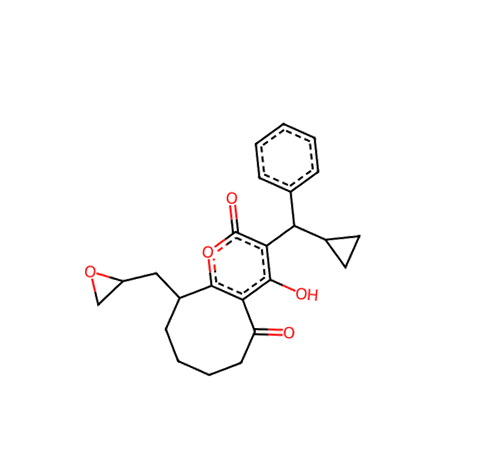 O=C1CCCCC(CC2CO2)c2oc(=O)c(C(c3ccccc3)C3CC3)c(O)c21